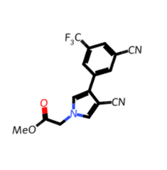 COC(=O)Cn1cc(C#N)c(-c2cc(C#N)cc(C(F)(F)F)c2)c1